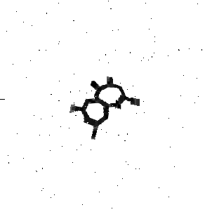 CC1C=C2N=C(S)CN[C@H](C)C2=CC(I)C1